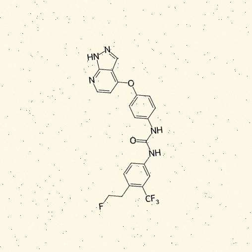 O=C(Nc1ccc(Oc2ccnc3[nH]ncc23)cc1)Nc1ccc(CCF)c(C(F)(F)F)c1